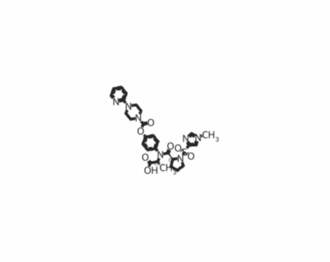 C[C@@H](C(=O)O)N(C(=O)[C@@H]1CCCN1S(=O)(=O)c1cn(C)cn1)c1ccc(OC(=O)N2CCN(c3ccccn3)CC2)cc1